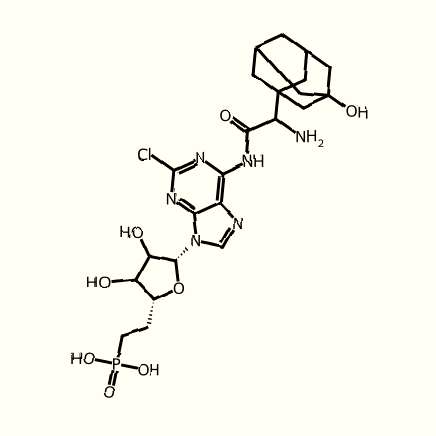 NC(C(=O)Nc1nc(Cl)nc2c1ncn2[C@@H]1O[C@H](CCP(=O)(O)O)C(O)C1O)C12CC3CC(CC(O)(C3)C1)C2